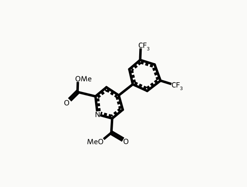 COC(=O)c1cc(-c2cc(C(F)(F)F)cc(C(F)(F)F)c2)cc(C(=O)OC)n1